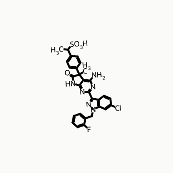 CC(c1ccc(C2(C)C(=O)Nc3nc(-c4nn(Cc5ccccc5F)c5cc(Cl)ccc45)nc(N)c32)cc1)S(=O)(=O)O